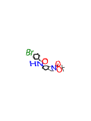 CC(C)(C)OC(=O)N1CCc2ccc(NC(=O)c3ccc(Br)cc3)cc2C1